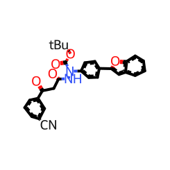 CC(C)(C)OC(=O)N(NC(=O)CC(=O)c1cccc(C#N)c1)c1ccc(-c2cc3ccccc3o2)cc1